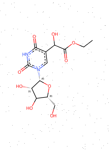 CCOC(=O)C(O)c1cn([C@@H]2O[C@H](CO)C(O)[C@@H]2O)c(=O)[nH]c1=O